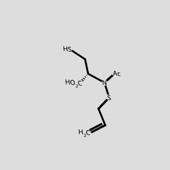 C=CCSN(C(C)=O)[C@@H](CS)C(=O)O